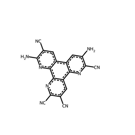 N#Cc1cc2c3cc(N)c(C#N)nc3c3cc(C#N)c(C#N)nc3c2nc1N